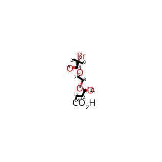 CC(C)(Br)C(=O)OCCOC(=O)CCC(=O)O